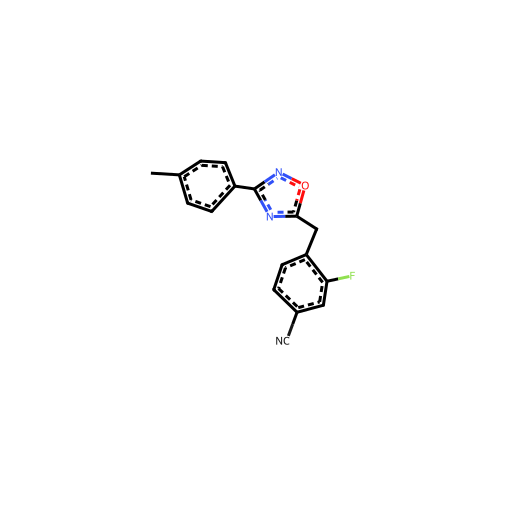 Cc1ccc(-c2noc(Cc3ccc(C#N)cc3F)n2)cc1